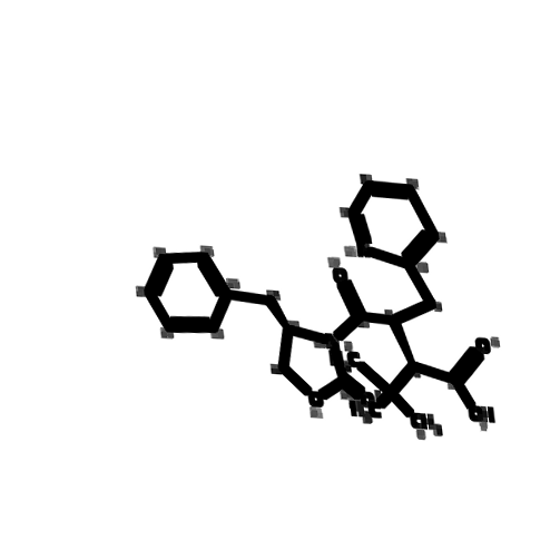 CC(C)(C)[C@H](C(=O)O)C(Cc1ccccn1)C(=O)N1C(=O)OC[C@H]1Cc1ccccc1